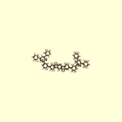 c1ccc(-c2cc(-c3ccccc3)nc(-c3cccc(-c4ccc5c(c4)oc4cc6c(cc45)oc4cc(-c5cccc(-c7nc(-c8ccccc8)cc(-c8ccccc8)n7)c5)ccc46)c3)n2)cc1